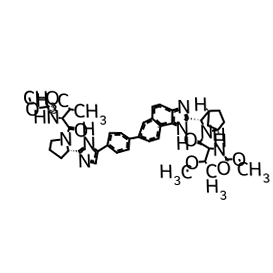 COC(=O)NC(C(=O)N1[C@@H]2CC[C@@H](C2)[C@H]1c1nc2ccc3cc(-c4ccc(-c5cnc([C@@H]6CCCN6C(=O)[C@@H](NC(=O)OC)C(C)C)[nH]5)cc4)ccc3c2[nH]1)[C@@H](C)OC